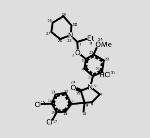 CCC(Oc1cc(N2CCC(C)(c3ccc(Cl)c(Cl)c3)C2=O)ccc1OC)N1CCCCC1.Cl